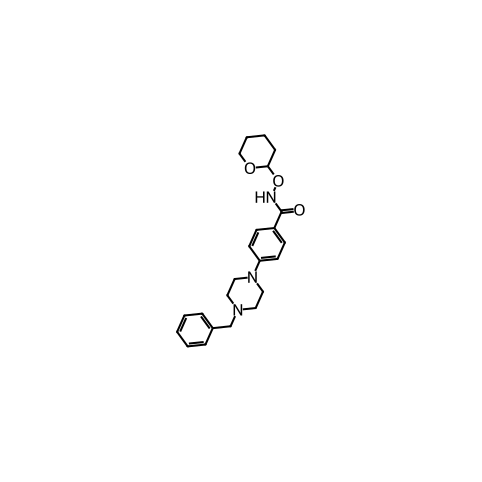 O=C(NOC1CCCCO1)c1ccc(N2CCN(Cc3ccccc3)CC2)cc1